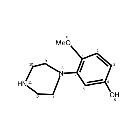 COc1ccc(O)cc1N1CCNCC1